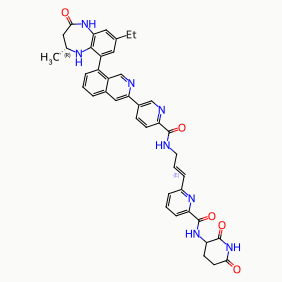 CCc1cc2c(c(-c3cccc4cc(-c5ccc(C(=O)NC/C=C/c6cccc(C(=O)NC7CCC(=O)NC7=O)n6)nc5)ncc34)c1)N[C@H](C)CC(=O)N2